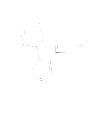 C=C(CC)c1ccccc1N(CC)CC